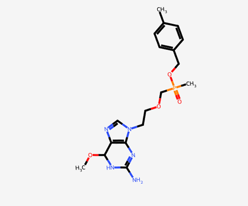 COC1NC(N)=Nc2c1ncn2CCOCP(C)(=O)OCc1ccc(C)cc1